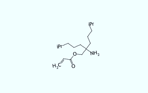 C=CC(=O)OCC(N)(CCCC(C)C)CCCC(C)C